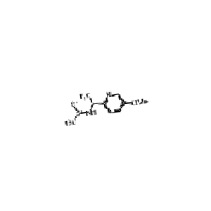 COc1ccc([C@@H](N[S+]([O-])C(C)(C)C)C(F)(F)F)nc1